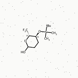 CC(C)(C)[Si](C)(C)O[C@H]1CCC(O)O[C@@H]1C(F)(F)F